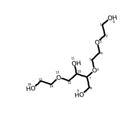 OCCOCCOC(CO)C(O)COCCO